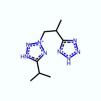 CC(C)c1n[n+](CC(C)c2nn[nH]n2)n[nH]1